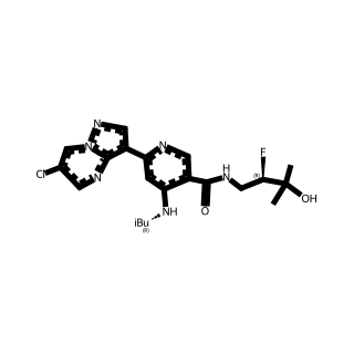 CC[C@@H](C)Nc1cc(-c2cnn3cc(Cl)cnc23)ncc1C(=O)NC[C@@H](F)C(C)(C)O